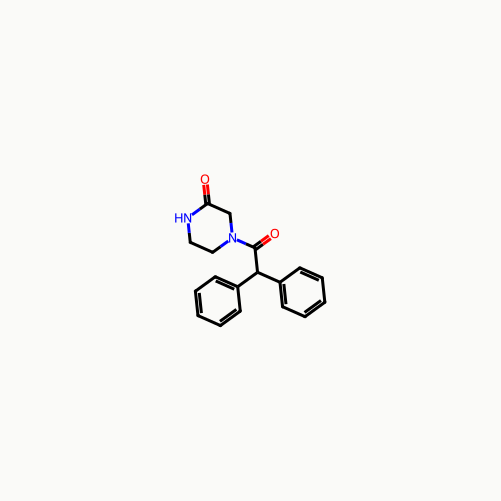 O=C1CN(C(=O)C(c2ccccc2)c2ccccc2)CCN1